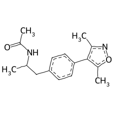 CC(=O)NC(C)Cc1ccc(-c2c(C)noc2C)cc1